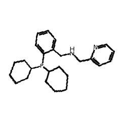 c1ccc(CNCc2ccccc2P(C2CCCCC2)C2CCCCC2)nc1